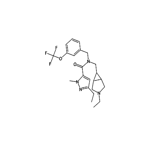 CCc1cc(C(=O)N(Cc2cccc(OC(F)(F)F)c2)CC2C3CN(CC)CC32)n(C)n1